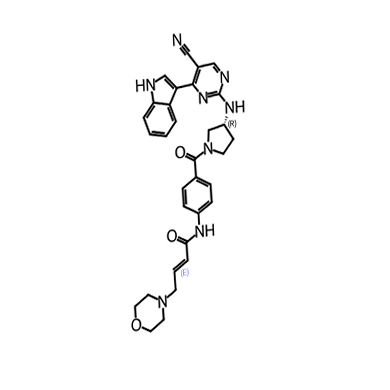 N#Cc1cnc(N[C@@H]2CCN(C(=O)c3ccc(NC(=O)/C=C/CN4CCOCC4)cc3)C2)nc1-c1c[nH]c2ccccc12